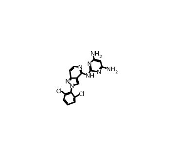 Nc1cc(N)nc(Nc2nccc3nn(-c4c(Cl)cccc4Cl)cc23)n1